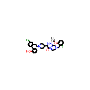 CCOc1cccc(F)c1CN1CCN(C(=O)[C@H](N)C2CCN(CCc3cc(Cl)ccc3-c3ccccc3O)CC2)CC1